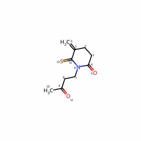 C=C1CCC(=O)N(CCC(C)=O)C1=S